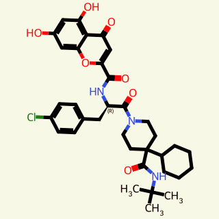 CC(C)(C)NC(=O)C1(C2CCCCC2)CCN(C(=O)[C@@H](Cc2ccc(Cl)cc2)NC(=O)c2cc(=O)c3c(O)cc(O)cc3o2)CC1